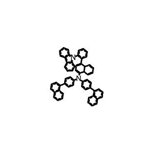 C1=CC2C(c3ccccc3-n3c4ccccc4c4ccccc43)=CC=C(N(c3ccc(-c4cccc5ccccc45)cc3)c3ccc(-c4cccc5ccccc45)cc3)C2C=C1